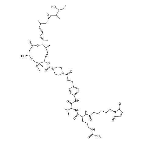 CCC(O)C(C)[C@@H]1O[C@H]1CC(C)/C=C/C=C(\C)[C@H]1OC(=O)C[C@H](O)CC[C@@](C)(OC)[C@@H](OC(=O)N2CCN(C(=O)OCc3ccc(NC(=O)C(NC(=O)C(CCCNC(N)=O)NC(=O)CCCCCN4C(=O)C=CC4=O)C(C)C)cc3)CC2)/C=C/[C@@H]1C